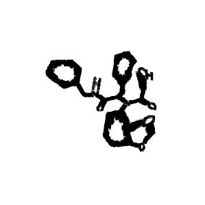 C#CC(=O)N(c1cccc2c1OCO2)C(C(=O)NCc1ccccc1)c1ccccc1